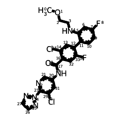 COCCNc1cc(F)ccc1-c1cc(Cl)c(C(=O)Nc2cnc(-n3nccn3)c(Cl)c2)cc1F